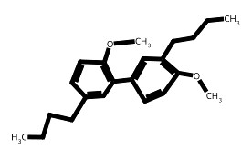 CCCCc1ccc(OC)c(-c2ccc(OC)c(CCCC)c2)c1